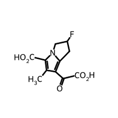 Cc1c(C(=O)C(=O)O)c2n(c1C(=O)O)CC(F)C2